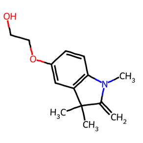 C=C1N(C)c2ccc(OCCO)cc2C1(C)C